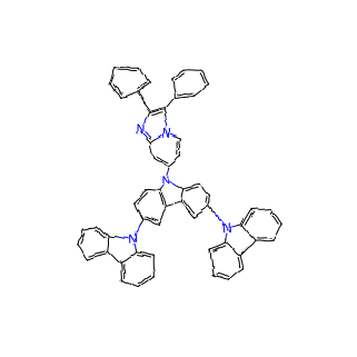 c1ccc(-c2nc3cc(-n4c5ccc(-n6c7ccccc7c7ccccc76)cc5c5cc(-n6c7ccccc7c7ccccc76)ccc54)ccn3c2-c2ccccc2)cc1